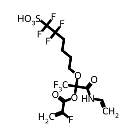 C=CNC(=O)C(OCCCCC(F)(F)C(F)(F)S(=O)(=O)O)(OC(=O)C(=C)F)C(F)(F)F